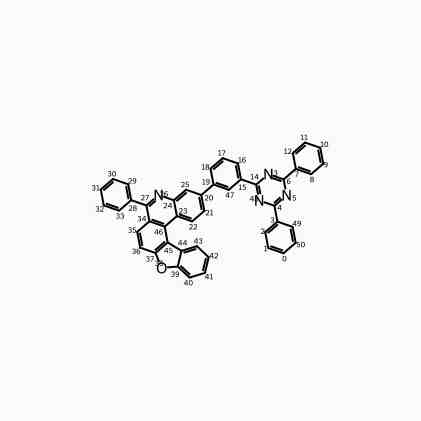 c1ccc(-c2nc(-c3ccccc3)nc(-c3cccc(-c4ccc5c(c4)nc(-c4ccccc4)c4ccc6oc7ccccc7c6c45)c3)n2)cc1